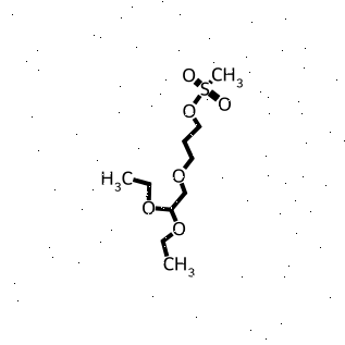 CCOC(COCCCOS(C)(=O)=O)OCC